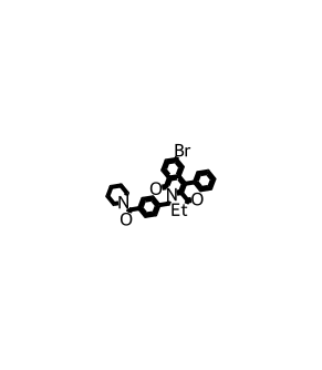 CCC(=O)c1c(-c2ccccc2)c2cc(Br)ccc2c(=O)n1Cc1ccc(C(=O)N2CCCCC2)cc1